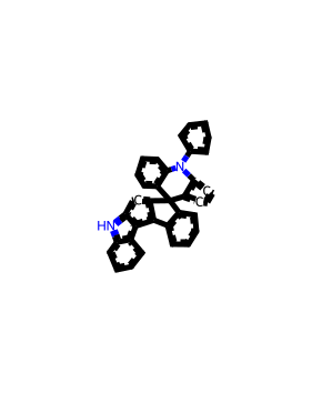 c1ccc(N2c3ccccc3C3(c4ccccc4-c4c3ccc3[nH]c5ccccc5c43)c3ccccc32)cc1